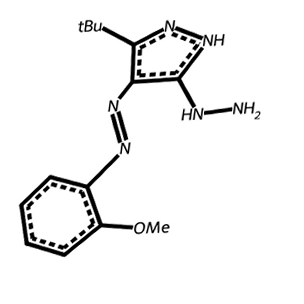 COc1ccccc1/N=N/c1c(C(C)(C)C)n[nH]c1NN